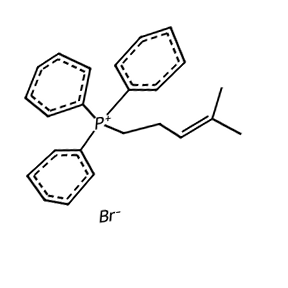 CC(C)=CCC[P+](c1ccccc1)(c1ccccc1)c1ccccc1.[Br-]